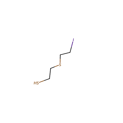 SCCSCCI